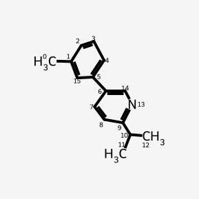 Cc1cccc(-c2ccc(C(C)C)nc2)c1